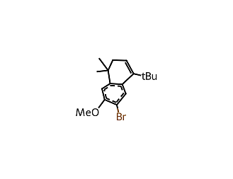 COc1cc2c(cc1Br)C(C(C)(C)C)=CCC2(C)C